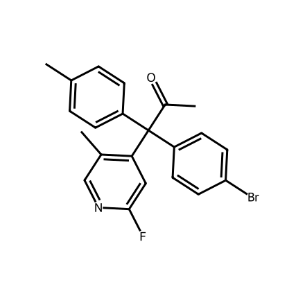 CC(=O)C(c1ccc(C)cc1)(c1ccc(Br)cc1)c1cc(F)ncc1C